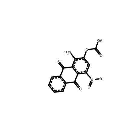 Nc1c(OC(=O)O)cc([N+](=O)[O-])c2c1C(=O)c1ccccc1C2=O